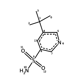 CC(C)(C)c1cncc(S(N)(=O)=O)c1